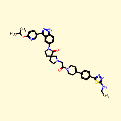 CCNc1nnc(-c2ccc(C3=CCN(C(=O)CN4CCC5(CCN(c6ccc7[nH]nc(-c8ccc(OC(C)C)nc8)c7c6)C5=O)C4)CC3)cc2)s1